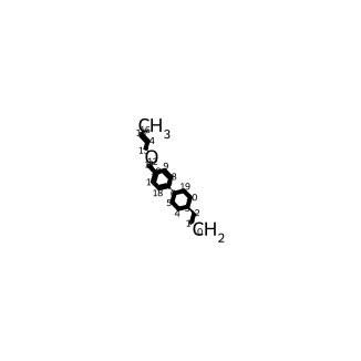 C=CC[C@H]1CC[C@H](c2ccc(COCC=CC)cc2)CC1